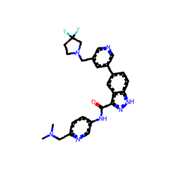 CN(C)Cc1ccc(NC(=O)c2n[nH]c3ccc(-c4cncc(CN5CCC(F)(F)C5)c4)cc23)cn1